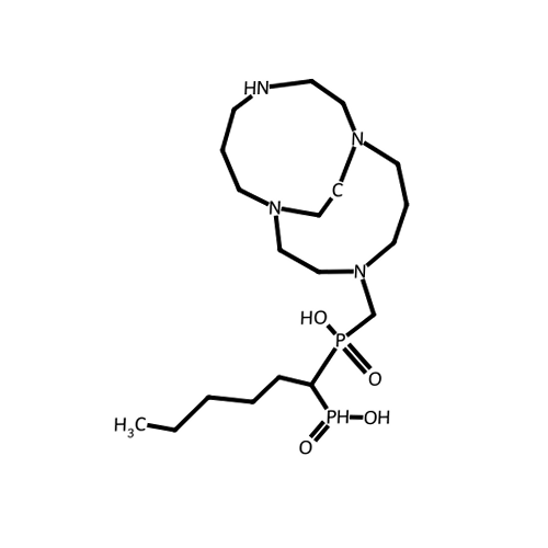 CCCCCC([PH](=O)O)P(=O)(O)CN1CCCN2CCNCCCN(CC2)CC1